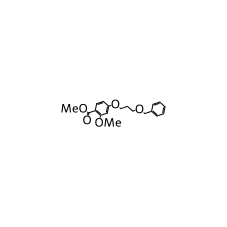 COC(=O)c1ccc(OCCCOCc2ccccc2)cc1OC